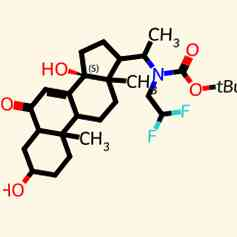 CC(C1CC[C@@]2(O)C3=CC(=O)C4CC(O)CCC4(C)C3CCC12C)N(CC(F)F)C(=O)OC(C)(C)C